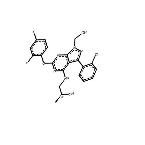 C[C@H](O)CNc1nc(Oc2ccc(F)cc2F)nc2c1c(-c1ccccc1Cl)nn2CO